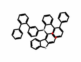 c1ccc(-c2ccccc2-c2cccc(N(c3ccccc3-c3ccccc3-c3ccccc3)c3cccc4sc5ccccc5c34)c2)cc1